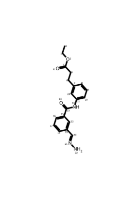 CCOC(=O)CCc1cccc(NC(=O)c2cccc(C=NN)c2)c1